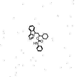 O=C(Nc1ccccc1)OC(CC1c2ccccc2-c2cncn21)C1CCCCC1